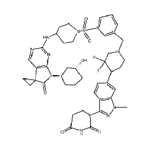 Cn1nc(N2CCC(=O)NC2=O)c2ccc(C3CCN(Cc4cccc(S(=O)(=O)N5CCC(Nc6ncc7c(n6)N([C@@H]6CCC[C@@H](O)C6)C(=O)C76CC6)CC5)c4)CC3(F)F)cc21